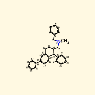 CN(Cc1ccccc1)CC1CCc2cc(-c3ccccc3)ccc2C1c1ccccc1